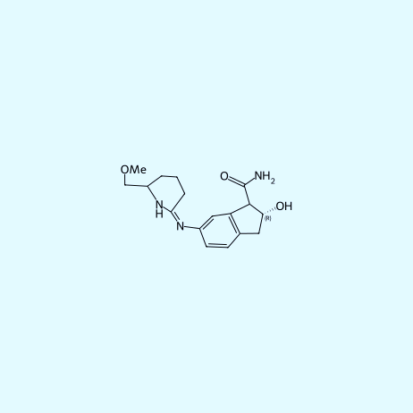 COCC1CCCC(=Nc2ccc3c(c2)C(C(N)=O)[C@H](O)C3)N1